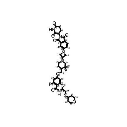 O=C1CCC(N2C(=O)c3ccc(N4CC(N5CCC(COc6cc(F)c7c(=O)[nH]c(CSC8CCOCC8)nc7c6)C(F)(F)C5)C4)cc3C2=O)C(=O)N1